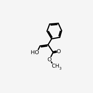 COC(=O)C(=CO)c1ccccc1